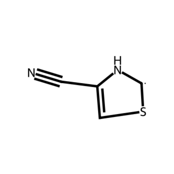 N#CC1=CS[CH]N1